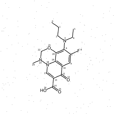 CCCN(CC)c1c(F)cc2c(=O)c(C(=O)O)cn3c2c1OCN3C